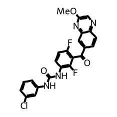 COc1cnc2ccc(C(=O)c3c(F)ccc(NC(=O)Nc4cccc(Cl)c4)c3F)cc2n1